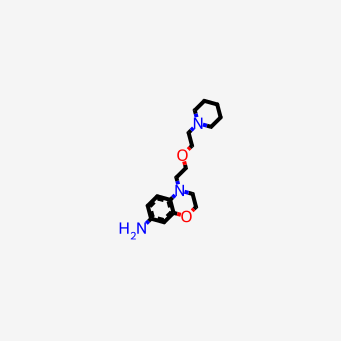 Nc1ccc2c(c1)OCCN2CCOCCN1CCCCC1